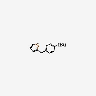 CC(C)(C)c1ccc(Cc2cccs2)cc1